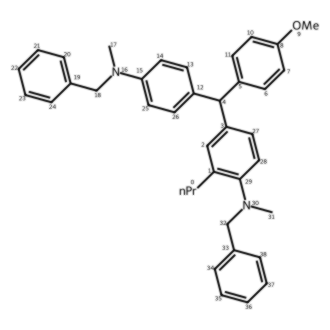 CCCc1cc(C(c2ccc(OC)cc2)c2ccc(N(C)Cc3ccccc3)cc2)ccc1N(C)Cc1ccccc1